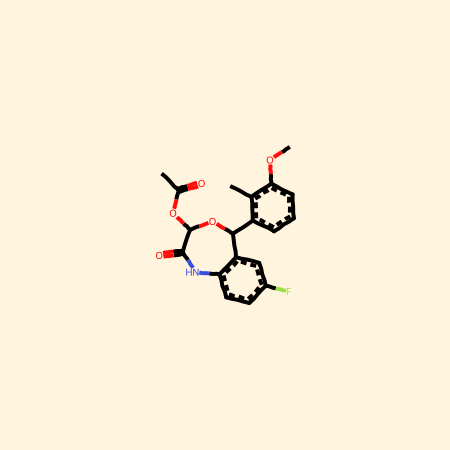 COc1cccc(C2OC(OC(C)=O)C(=O)Nc3ccc(F)cc32)c1C